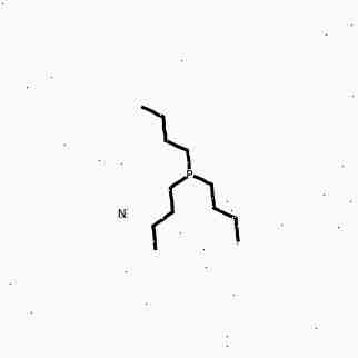 CCCCP(CCCC)CCCC.[N]